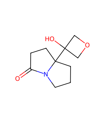 O=C1CCC2(C3(O)COC3)CCCN12